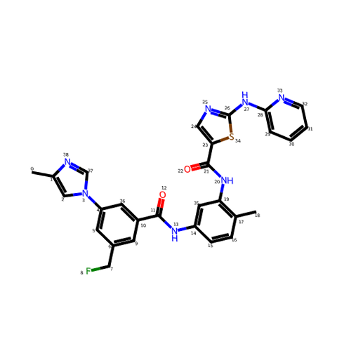 Cc1cn(-c2cc(CF)cc(C(=O)Nc3ccc(C)c(NC(=O)c4cnc(Nc5ccccn5)s4)c3)c2)cn1